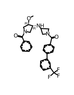 CO[C@@H]1CN(C(=O)c2ccccc2)C[C@H]1NC1CN(C(=O)c2ccc(-c3cccc(C(F)(F)F)c3)cc2)C1